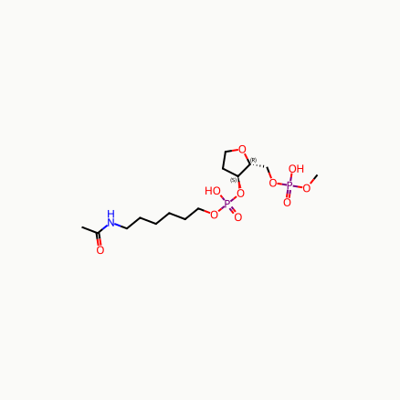 COP(=O)(O)OC[C@H]1OCC[C@@H]1OP(=O)(O)OCCCCCCNC(C)=O